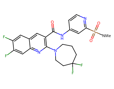 CNS(=O)(=O)c1cc(NC(=O)c2cc3cc(F)c(F)cc3nc2N2CCCC(F)(F)CC2)ccn1